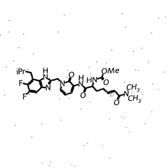 COC(=O)NC(CC/C=C/C(=O)N(C)C)C(=O)Nc1cccn(Cc2nc3cc(F)c(F)c(CC(C)C)c3[nH]2)c1=O